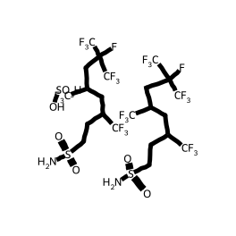 NS(=O)(=O)CCC(CC(CC(F)(C(F)(F)F)C(F)(F)F)C(F)(F)F)C(F)(F)F.NS(=O)(=O)CCC(CC(CC(F)(C(F)(F)F)C(F)(F)F)C(F)(F)F)C(F)(F)F.O=S(=O)(O)O